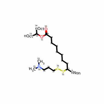 CCCCCCCCCC(CCCCCCCC(=O)OC(CCCCCCCC)CCCCCCCC)SSCCCN(C)C